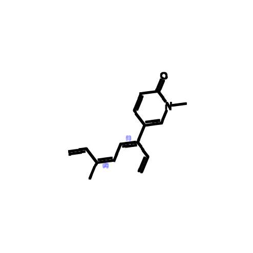 C=C/C(C)=C\C=C(/C=C)c1ccc(=O)n(C)c1